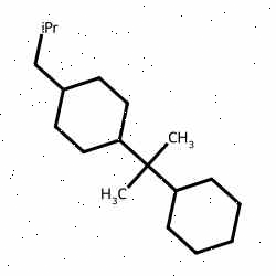 CC(C)CC1CCC(C(C)(C)C2CCCCC2)CC1